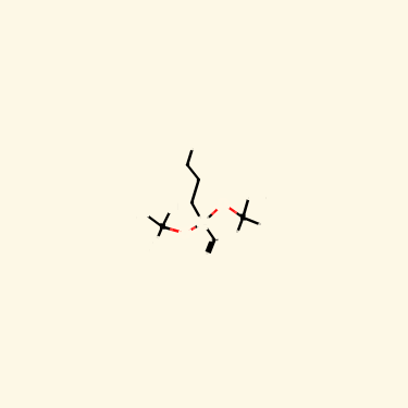 C=C[Si](CCCC)(OC(C)(C)C)OC(C)(C)C